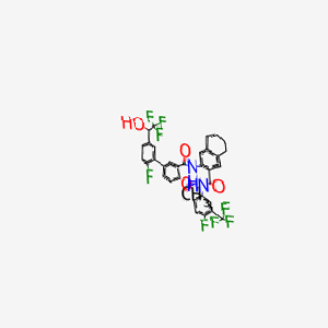 COc1ccc(-c2cc(C(O)C(F)(F)F)ccc2F)cc1C(=O)Nc1cc2c(cc1C(=O)Nc1ccc(F)c(C(F)(F)F)c1)CCCC2